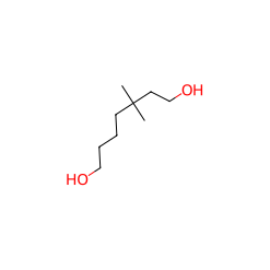 CC(C)(CCO)CCCCO